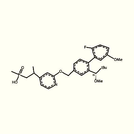 COc1ccc(F)c(-c2ccc(COc3cc(C(C)CP(C)(=O)O)ccn3)cc2[C@@H](OC)C(C)(C)C)c1